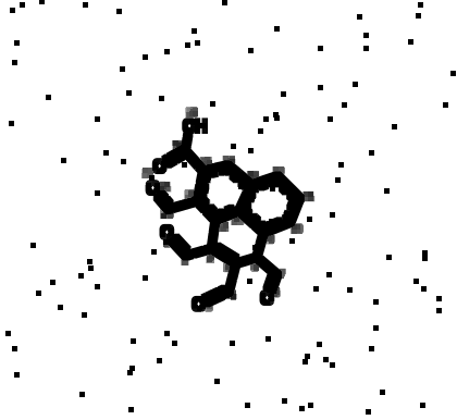 O=CC1=C(C=O)C(C=O)c2cccc3cc(C(=O)O)c(C=O)c1c23